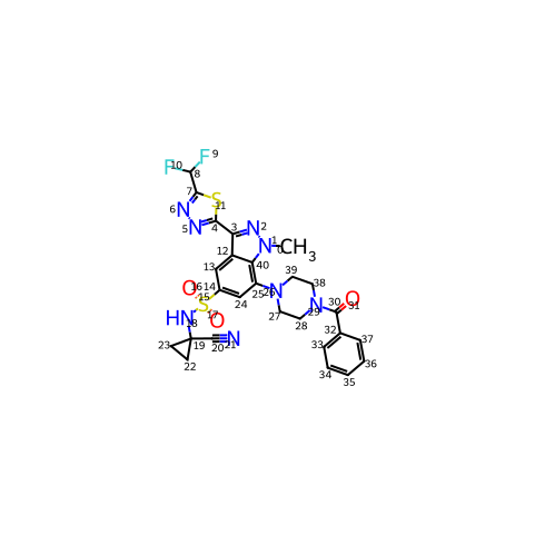 Cn1nc(-c2nnc(C(F)F)s2)c2cc(S(=O)(=O)NC3(C#N)CC3)cc(N3CCN(C(=O)c4ccccc4)CC3)c21